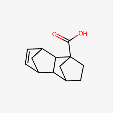 O=C(O)C12CCC(C1)C1C3C=CC(C3)C12